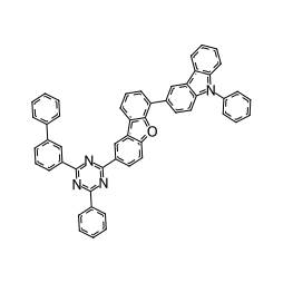 c1ccc(-c2cccc(-c3nc(-c4ccccc4)nc(-c4ccc5oc6c(-c7ccc8c(c7)c7ccccc7n8-c7ccccc7)cccc6c5c4)n3)c2)cc1